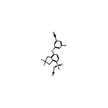 CS(=O)(=NC#N)c1ccc(Oc2cc(F)cc(C#N)c2)c2c1CC(F)(F)C2